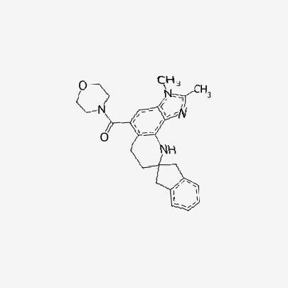 Cc1nc2c3c(c(C(=O)N4CCOCC4)cc2n1C)CCC1(Cc2ccccc2C1)N3